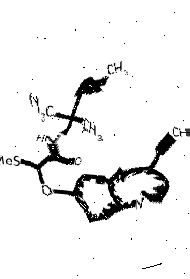 C#Cc1cnc2ccc(OC(SC)C(=O)NC(C)(C)C#CC)cc2c1